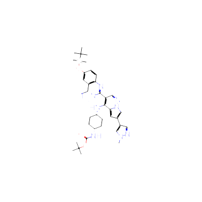 CCc1cc(O[Si](C)(C)C(C)(C)C)ccc1/N=C(\N)c1cnn2cc(-c3cnn(C)c3)cc2c1N[C@H]1CC[C@H](NC(=O)OC(C)(C)C)CC1